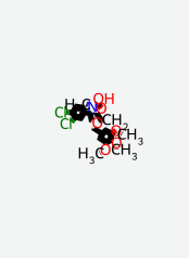 C=CC[C@@](COCc1cc(OC)c(OC)c(OC)c1)(c1ccc(Cl)c(Cl)c1)N(C)C(=O)O